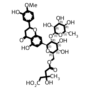 COc1ccc(C2CC(=O)c3c(O)cc([C@@H]4O[C@H](COC(=O)CC(C)(O)CC(=O)O)[C@@H](O)[C@H](O)[C@H]4O[C@@H]4O[C@@H](C)[C@H](O)[C@@H](O)[C@H]4O)cc3O2)cc1O